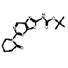 CC(C)(C)OC(=O)Nc1nc2cnc(N3CCCCC3=O)nc2s1